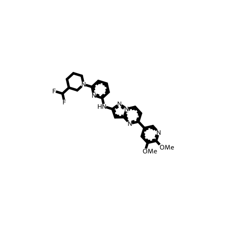 COc1cc(-c2ccn3nc(Nc4cccc(N5CCCC(C(F)F)C5)n4)cc3n2)cnc1OC